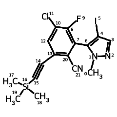 Cn1ncc(I)c1-c1c(F)c(Cl)cc(C#C[Si](C)(C)C)c1C#N